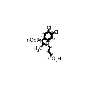 CCCCCCCCn1c(C)[n+](CCCC(=O)O)c2cc(Cl)c(Cl)cc21